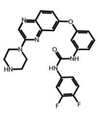 O=C(Nc1cccc(Oc2ccc3ncc(N4CCNCC4)nc3c2)c1)Nc1ccc(F)c(F)c1